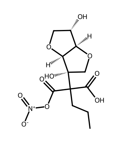 CCCC(C(=O)O)(C(=O)O[N+](=O)[O-])[C@]1(O)CO[C@@H]2[C@@H](O)CO[C@@H]21